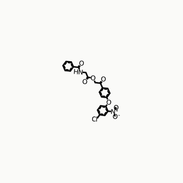 O=C(CNC(=O)c1ccccc1)OCC(=O)c1ccc(Oc2ccc(Cl)cc2[N+](=O)[O-])cc1